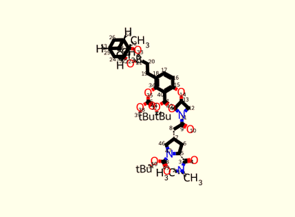 CN(C)C(=O)[C@H]1C[C@@H](CC(=O)N2CC(Oc3ccc(CCB4O[C@@H]5C[C@@H]6C[C@@H](C6(C)C)[C@]5(C)O4)c(OC(=O)OC(C)(C)C)c3C(=O)OC(C)(C)C)C2)CN1C(=O)OC(C)(C)C